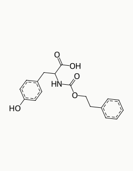 O=C(NC(Cc1ccc(O)cc1)C(=O)O)OCCc1ccccc1